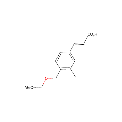 COCOCc1ccc(/C=C/C(=O)O)cc1C